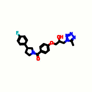 Cc1nnnn1CC(O)COc1ccc(C(=O)N2CCC(c3ccc(F)cc3)C2)cc1